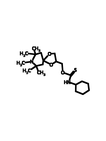 CN1C(C)(C)CC2(CC1(C)C)OCC(COC(=S)NC1CCCCC1)O2